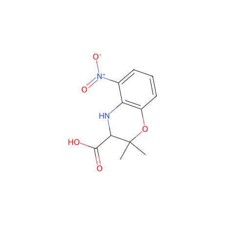 CC1(C)Oc2cccc([N+](=O)[O-])c2NC1C(=O)O